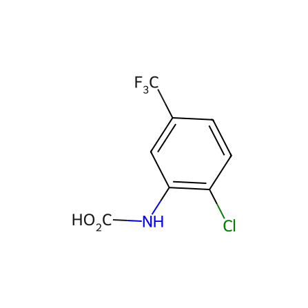 O=C(O)Nc1cc(C(F)(F)F)ccc1Cl